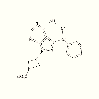 CCOC(=O)N1CC(n2nc([S+]([O-])c3ccccc3)c3c(N)ncnc32)C1